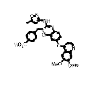 COc1cc2nccc(Oc3ccc(/N=C(/Nc4cc(C)on4)SCc4ccc(C(=O)O)cc4)c(Cl)c3)c2cc1OC